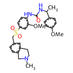 COc1ccc(C(C)NC(=O)Nc2ccc(S(=O)(=O)Cc3ccc4c(c3)CCN(C)C4)cc2OC)cc1